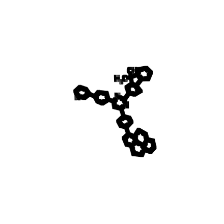 CC1(C)c2ccccc2-c2ccc(-c3nc(-c4ccc(-c5cccnc5)cc4)cc(-c4ccc(-c5ccc6ccc7cccc8ccc5c6c78)cc4)n3)cc21